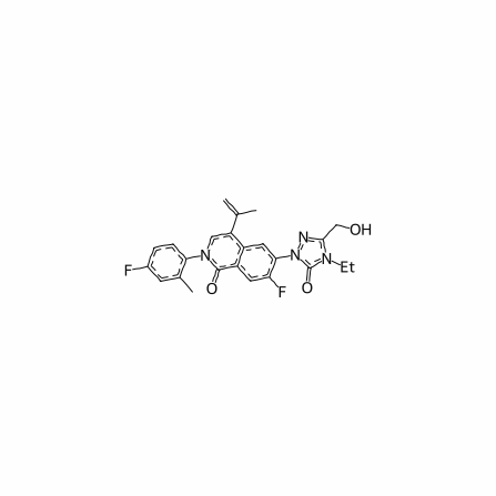 C=C(C)c1cn(-c2ccc(F)cc2C)c(=O)c2cc(F)c(-n3nc(CO)n(CC)c3=O)cc12